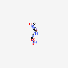 O=C1CCC(N2C(=O)c3ccc(N4CCC(CNC56CCC(C(=O)N7CCN8c9cc(-c%10ccccc%10O)nnc9NC[C@H]8C7)(CC5)CC6)CC4)cc3C2=O)C(=O)N1